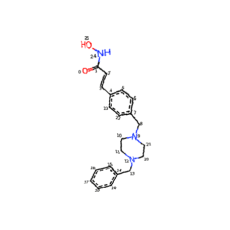 O=C(/C=C/c1ccc(CN2CCN(Cc3ccccc3)CC2)cc1)NO